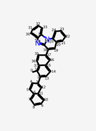 Cc1c(-c2ccc3ccccc3c2)ccc2cc(-c3cc4ccccc4n4c3nc3ccccc34)ccc12